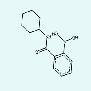 O=C(NC1CCCCC1)c1ccccc1B(O)O